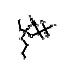 CCCSP(=S)(CC)OC(C)(C#N)C(F)(F)F